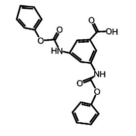 O=C(Nc1cc(NC(=O)Oc2ccccc2)cc(C(=O)O)c1)Oc1ccccc1